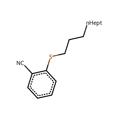 CCCCCCCCCCSc1ccccc1C#N